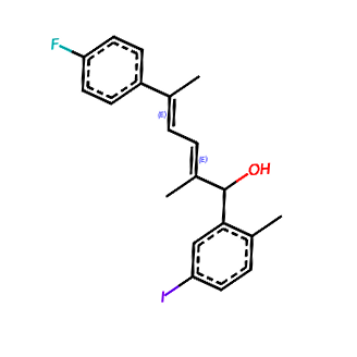 C/C(=C\C=C(/C)C(O)c1cc(I)ccc1C)c1ccc(F)cc1